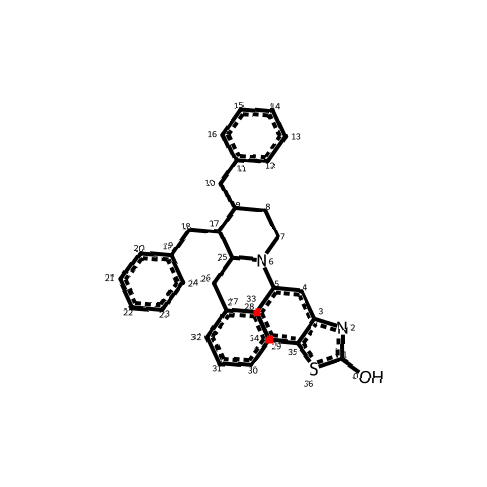 Oc1nc2cc(N3CCC(Cc4ccccc4)C(Cc4ccccc4)C3Cc3ccccc3)ccc2s1